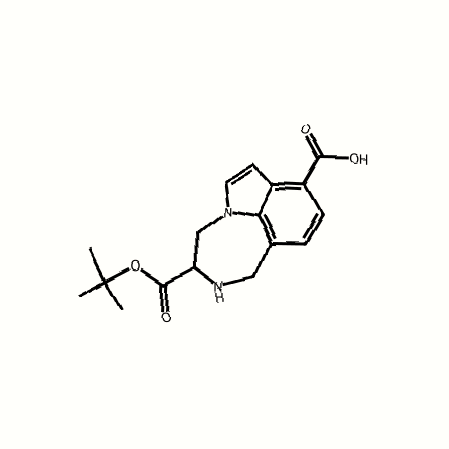 CC(C)(C)OC(=O)C1Cn2ccc3c(C(=O)O)ccc(c32)CN1